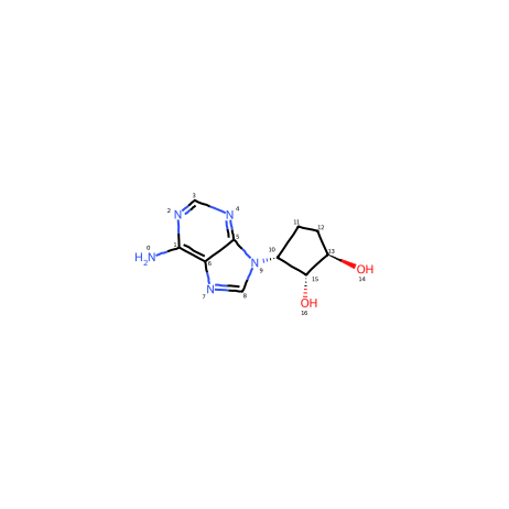 Nc1ncnc2c1ncn2[C@@H]1CC[C@@H](O)[C@@H]1O